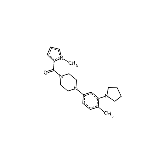 Cc1ccc(N2CCN(C(=O)c3cccn3C)CC2)cc1N1CCCC1